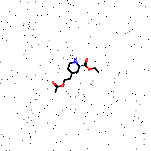 CCOC(=O)[C@@H]1C[C@@H](CCOC(C)=O)CCN1